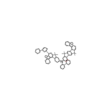 CC1(C)c2cc(N(c3ccc4c(c3)C(C)(C)c3cc(-c5cccc(-c6ccccc6)c5)c5oc6ccccc6c5c3-4)c3ccccc3-c3ccccc3)ccc2-c2cc3c(cc21)-c1c(ccc2oc4ccccc4c12)C3(C)C